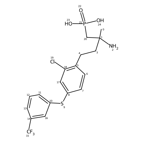 CC(N)(CCc1ccc(Sc2cccc(C(F)(F)F)c2)cc1Cl)CP(=O)(O)O